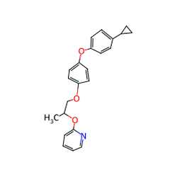 CC(COc1ccc(Oc2ccc(C3CC3)cc2)cc1)Oc1ccccn1